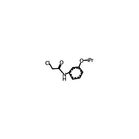 CC(C)Oc1cccc(NC(=O)CCl)c1